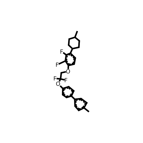 Cc1ccc(-c2ccc(OC(F)(F)COc3ccc(C4CCC(C)CC4)c(F)c3F)cc2)cc1